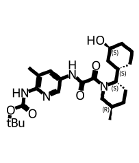 Cc1cc(NC(=O)C(=O)N2C[C@H](C)CC[C@H]2[C@H]2CCC[C@H](O)C2)cnc1NC(=O)OC(C)(C)C